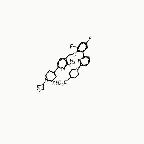 CCOC(=O)C1CCN(c2cccc(-c3cc(F)cc(F)c3OCc3ccc(C4CCN(C5COC5)CC4)nc3C)n2)CC1